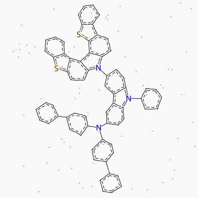 c1ccc(-c2ccc(N(c3ccc(-c4ccccc4)cc3)c3ccc4c(c3)c3cc(-n5c6ccc7c8ccccc8sc7c6c6c7c(ccc65)sc5ccccc57)ccc3n4-c3ccccc3)cc2)cc1